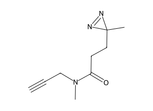 C#CCN(C)C(=O)CCC1(C)N=N1